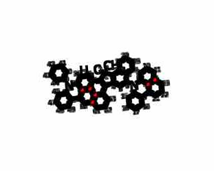 CC1(C)c2c(cc(N(c3ccccc3)c3ccccc3-c3ccccc3)c3ccccc23)-c2c1c1ccc(N(c3ccccc3)c3ccccc3-c3ccccc3)cc1c1ccccc21